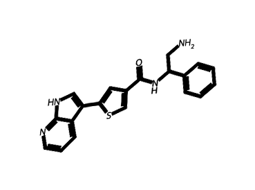 NCC(NC(=O)c1csc(-c2c[nH]c3ncccc23)c1)c1ccccc1